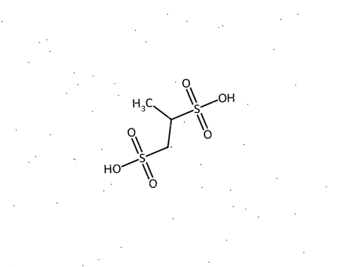 CC([CH]S(=O)(=O)O)S(=O)(=O)O